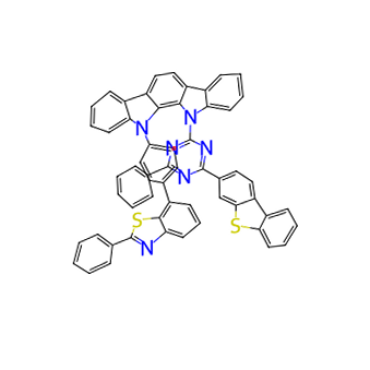 c1ccc(-c2nc(-c3ccc4c(c3)sc3ccccc34)nc(-n3c4ccccc4c4ccc5c6ccccc6n(-c6ccc(-c7cccc8nc(-c9ccccc9)sc78)cc6)c5c43)n2)cc1